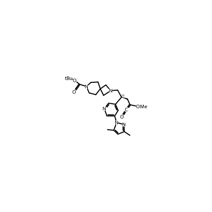 COC(=C=O)C[C@H](CN1CC2(CCN(C(=O)OC(C)(C)C)CC2)C1)c1cncc(-n2nc(C)cc2C)c1